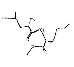 CCCC[C@H](NC(=O)[C@@H](N)CC(C)C)C(=O)OC